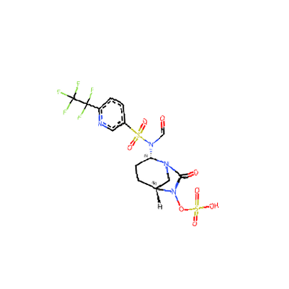 O=CN([C@H]1CC[C@@H]2CN1C(=O)N2OS(=O)(=O)O)S(=O)(=O)c1ccc(C(F)(F)C(F)(F)F)nc1